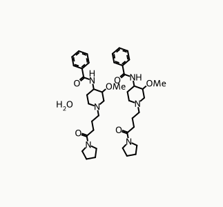 COC1CN(CCCC(=O)N2CCCC2)CCC1NC(=O)c1ccccc1.COC1CN(CCCC(=O)N2CCCC2)CCC1NC(=O)c1ccccc1.O